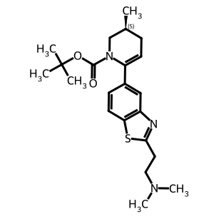 C[C@H]1CC=C(c2ccc3sc(CCN(C)C)nc3c2)N(C(=O)OC(C)(C)C)C1